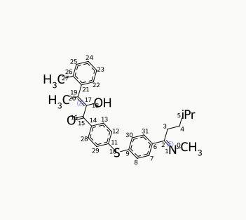 C/N=C(\CCC(C)C)c1ccc(Sc2ccc(C(=O)/C(O)=C(\C)c3ccccc3C)cc2)cc1